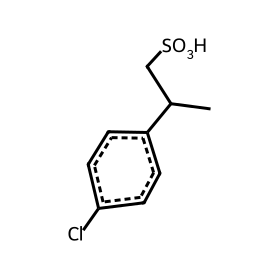 CC(CS(=O)(=O)O)c1ccc(Cl)cc1